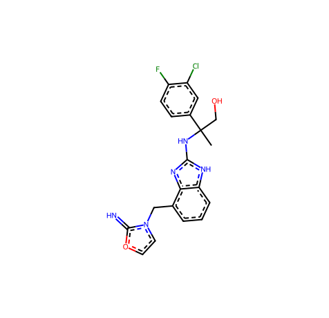 CC(CO)(Nc1nc2c(Cn3ccoc3=N)cccc2[nH]1)c1ccc(F)c(Cl)c1